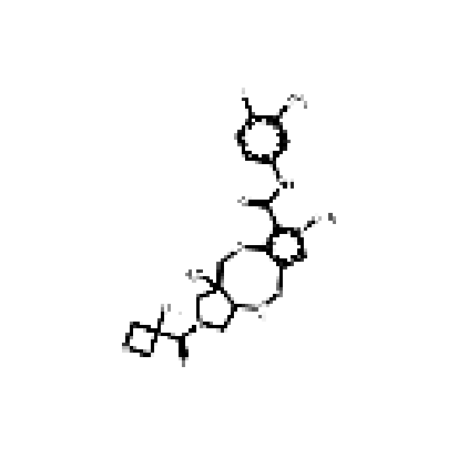 Cc1cc(NC(=O)c2c3c(cn2C)SNC2CN(C(=O)C4(C)COC4)CC2(C)CO3)ccc1F